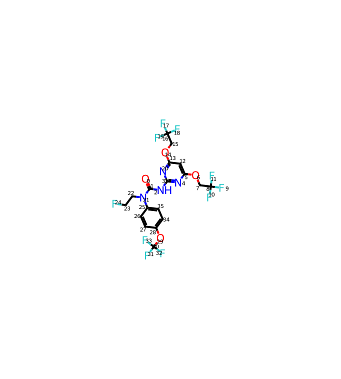 O=C(Nc1nc(OCC(F)(F)F)cc(OCC(F)(F)F)n1)N(CCF)c1ccc(OC(F)(F)F)cc1